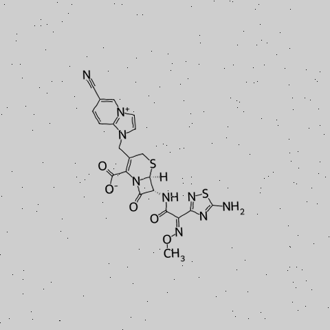 CO/N=C(\C(=O)N[C@@H]1C(=O)N2C(C(=O)[O-])=C(Cn3cc[n+]4cc(C#N)ccc34)CS[C@@H]12)c1nsc(N)n1